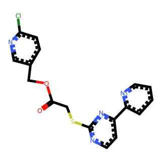 O=C(CSc1nccc(-c2ccccn2)n1)OCc1ccc(Cl)nc1